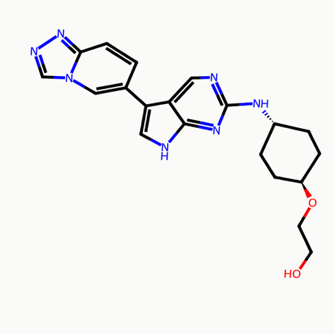 OCCO[C@H]1CC[C@H](Nc2ncc3c(-c4ccc5nncn5c4)c[nH]c3n2)CC1